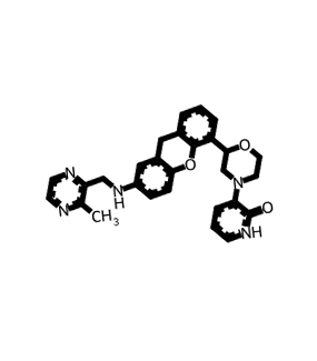 Cc1nccnc1CNc1ccc2c(c1)Cc1cccc(C3CN(c4ccc[nH]c4=O)CCO3)c1O2